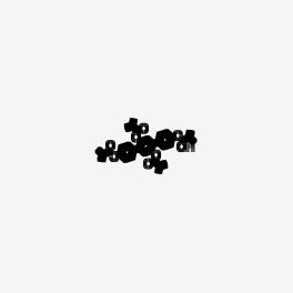 C=C(C)C(=O)Oc1ccc(-c2cc(OC(=O)C(=C)C)c(-c3ccc(OC(O)C(=C)C)cc3)cc2OC(=O)C(=C)C)cc1